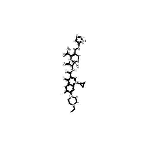 CCN1CCN(c2cc3c(cc2F)c(=O)c(C(=O)NC2C(=O)N4C(C(=O)O)=C(CSc5cnn[nH]5)CS[C@@H]24)cn3C2CC2)CC1